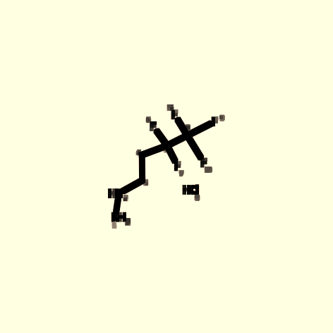 Cl.NNCCC(F)(F)C(F)(F)F